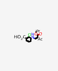 CC(=O)C(=CNc1cccc(C(=O)O)c1Cl)C(=O)OC(C)C